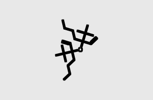 C=CC(CCCC)(OC(C=C)(CCCC)C(C)(C)C)C(C)(C)C